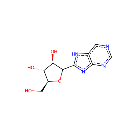 OC[C@@H]1OC(c2nc3ncncc3[nH]2)[C@H](O)[C@H]1O